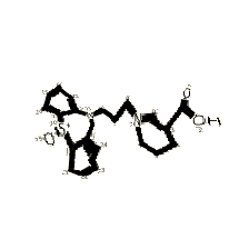 O=C(O)C1CCCN(CCCN2c3ccccc3[S+]([O-])c3ccccc32)C1